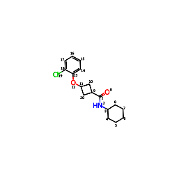 O=C(NC1CCCCC1)C1CC(Oc2ccccc2Cl)C1